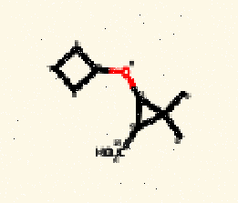 CC1(C)C(OC2CCC2)C1C(=O)O